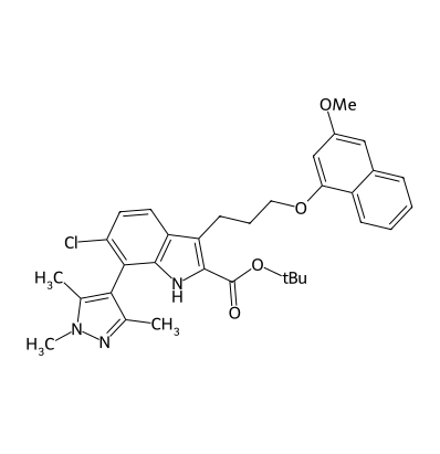 COc1cc(OCCCc2c(C(=O)OC(C)(C)C)[nH]c3c(-c4c(C)nn(C)c4C)c(Cl)ccc23)c2ccccc2c1